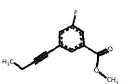 CCC#Cc1cc(F)cc(C(=O)OC)c1